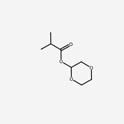 CC(C)C(=O)OC1COCCO1